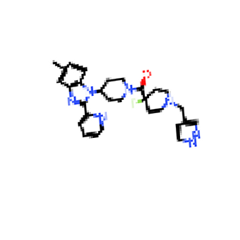 Cc1ccc2c(c1)nc(-c1ccccn1)n2C1CCN(C(=O)C2(F)CCN(Cc3ccnnc3)CC2)CC1